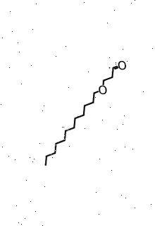 CCCCCCCCCCCCOCC[C]=O